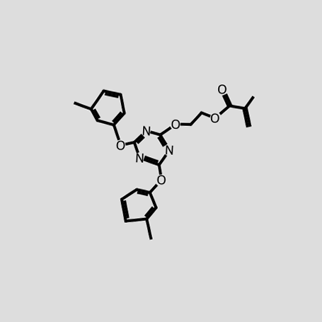 C=C(C)C(=O)OCCOc1nc(Oc2cccc(C)c2)nc(Oc2cccc(C)c2)n1